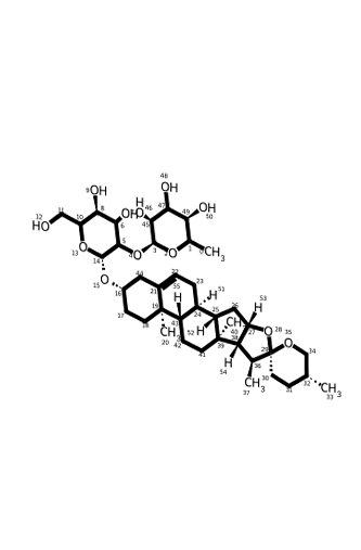 CC1O[C@@H](OC2C(O)[C@H](O)C(CO)O[C@H]2O[C@H]2CC[C@@]3(C)C(=CC[C@H]4[C@@H]5C[C@@H]6O[C@]7(CC[C@@H](C)CO7)[C@@H](C)[C@@H]6[C@@]5(C)CC[C@@H]43)C2)[C@@H](O)C(O)[C@H]1O